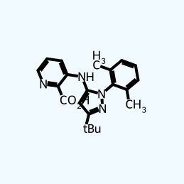 Cc1cccc(C)c1-n1nc(C(C)(C)C)cc1Nc1cccnc1C(=O)O